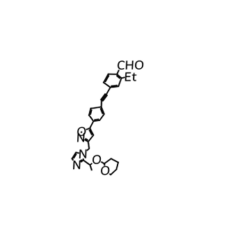 CCc1cc(C#Cc2ccc(-c3cc(Cn4ccnc4C(C)OC4CCCCO4)no3)cc2)ccc1C=O